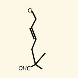 CC(C)(C=O)CC=CCCl